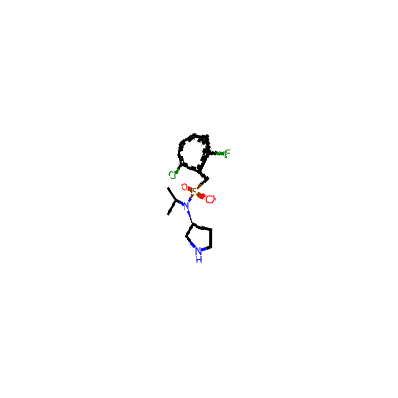 CC(C)N([C@H]1CCNC1)S(=O)(=O)Cc1c(F)cccc1Cl